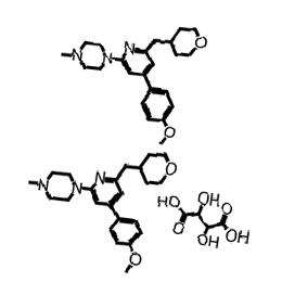 COc1ccc(-c2cc(CC3CCOCC3)nc(N3CCN(C)CC3)c2)cc1.COc1ccc(-c2cc(CC3CCOCC3)nc(N3CCN(C)CC3)c2)cc1.O=C(O)C(O)C(O)C(=O)O